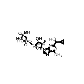 Nc1nc(C(O)C2CC2)nc2c1ncn2[C@@H]1O[C@H](COP(=O)(O)CP(=O)(O)O)[C@@H](O)[C@@H]1F